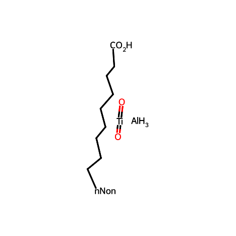 CCCCCCCCCCCCCCCCCC(=O)O.[AlH3].[O]=[Ti]=[O]